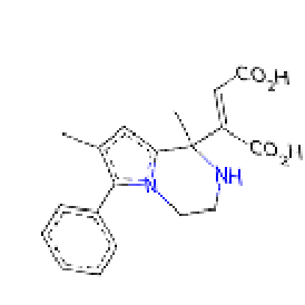 Cc1cc2n(c1-c1ccccc1)CCNC2(C)C(=CC(=O)O)C(=O)O